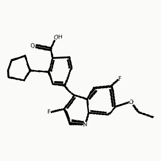 CCOc1cc2ncc(F)c(-c3ccc(C(=O)O)c(C4CCCC4)c3)c2cc1F